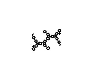 C=Cc1ccc(-c2ccc(N(c3ccc(-n4c5ccc(-c6ccccc6)cc5c5cc(-c6ccc7c(c6)c6cc(-c8ccccc8)ccc6n7-c6ccc(N(c7ccc(-c8ccc(C=C)cc8)cc7)c7ccc8c(c7)C(C)(C)c7ccccc7-8)cc6)ccc54)cc3)c3ccc4c(c3)C(C)(C)c3ccccc3-4)cc2)cc1